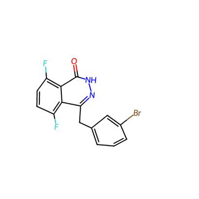 O=c1[nH]nc(Cc2cccc(Br)c2)c2c(F)ccc(F)c12